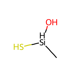 C[SiH](O)S